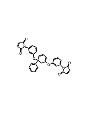 O=C1C=CC(=O)N1c1cccc(OC2=CC=CC(Oc3cccc(N4C(=O)C=CC4=O)c3)(c3ccccc3)C2)c1